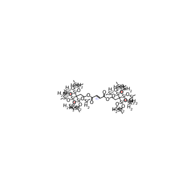 C[SiH2]O[Si](O[SiH2]C)(O[SiH2]C)C(CCOC(=O)/C=C/C(=O)OCCC([Si](O[SiH2]C)(O[SiH2]C)O[SiH2]C)([Si](O[SiH2]C)(O[SiH2]C)O[SiH2]C)[Si](O[SiH2]C)(O[SiH2]C)O[SiH2]C)([Si](O[SiH2]C)(O[SiH2]C)O[SiH2]C)[Si](O[SiH2]C)(O[SiH2]C)O[SiH2]C